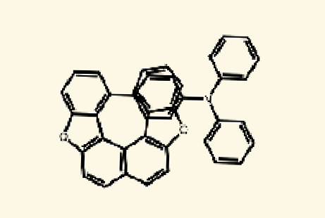 c1ccc(N(c2ccccc2)c2ccc(-c3cccc4oc5ccc6ccc7oc8ccccc8c7c6c5c34)cc2)cc1